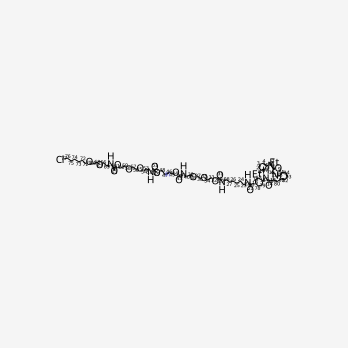 CCc1cccc(N(CC)C(=O)Cn2c(C(=O)N[C@H]3CC[C@H](C(=O)NCCCCCCNC(=O)OCCOCCOCCNC(=O)OC/C=C/COC(=O)NCCOCCOCCOC(=O)NCCOCCOCCCCCCCl)CC3)cc3ccccc32)c1